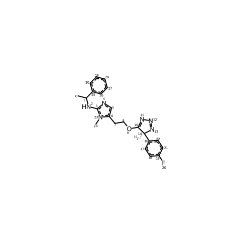 CC(Nc1ncc(CCOC2=NN=N[C@@]2(C)c2ccc(F)cc2)n1C)c1ccccc1